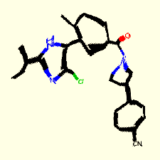 C=C(C)c1nc(Cl)c(-c2cc(C(=O)N3CC(c4ccc(C#N)cc4)C3)ccc2C)[nH]1